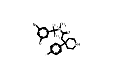 CN(C(=O)CC1(c2ccc(F)cc2)CCNCC1)C(C)(C)c1cc(Br)cc(Br)c1